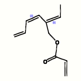 C=C/C=C\C(=C/C)COC(=O)C=C